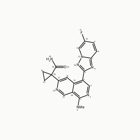 CNc1ncc(-c2nc3ccc(F)cn3n2)c2cc(C3(C(N)=O)CC3)ncc12